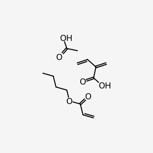 C=CC(=C)C(=O)O.C=CC(=O)OCCCC.CC(=O)O